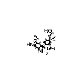 CCOC1=CC(=Nc2ccc(N(CC)CCO)cc2)C(N)=CC1=N.Cl